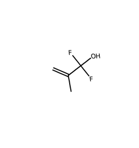 C=C(C)C(O)(F)F